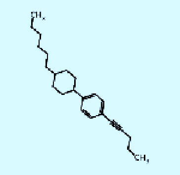 CCCC#Cc1ccc(C2CCC(CCCCCC)CC2)cc1